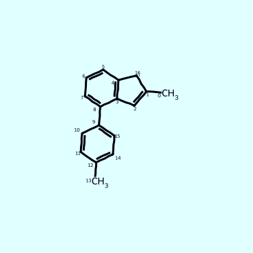 CC1=Cc2c(cccc2-c2ccc(C)cc2)[CH]1